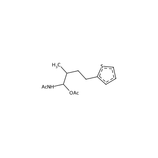 CC(=O)NC(OC(C)=O)C(C)CCc1cccs1